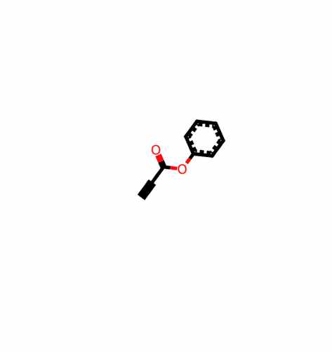 C#CC(=O)Oc1ccccc1